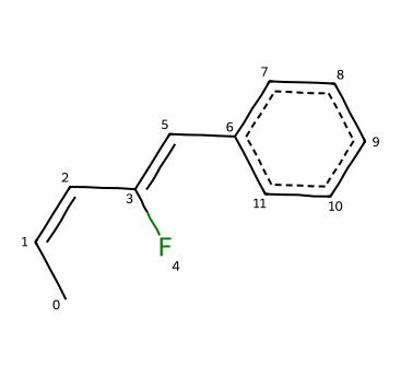 C/C=C\C(F)=C\c1ccccc1